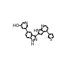 Oc1cncc(-c2ccc3[nH]nc(-c4cc5c(-c6ccsc6)ccnc5[nH]4)c3c2)c1